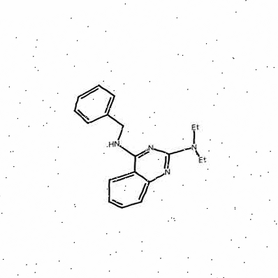 CCN(CC)c1nc(NCc2ccccc2)c2ccccc2n1